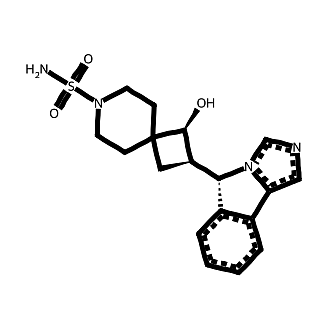 NS(=O)(=O)N1CCC2(CC1)C[C@H]([C@H]1c3ccccc3-c3cncn31)[C@@H]2O